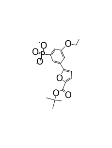 CCOc1cc(-c2ccc(C(=O)OC(C)(C)C)o2)cc(P(=O)(OC)OC)c1